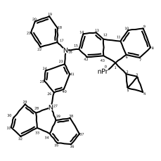 CCCC1(C2C3CC32)c2ccccc2-c2ccc(N(c3ccccc3)c3ccc(-n4c5ccccc5c5ccccc54)cc3)cc21